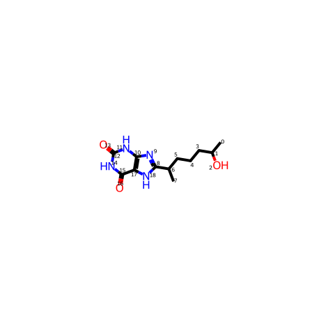 CC(O)CCCC(C)c1nc2[nH]c(=O)[nH]c(=O)c2[nH]1